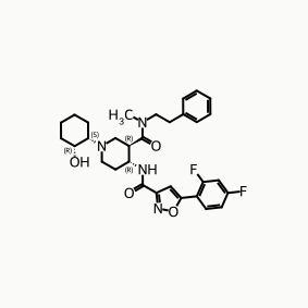 CN(CCc1ccccc1)C(=O)[C@@H]1CN([C@H]2CCCC[C@H]2O)CC[C@H]1NC(=O)c1cc(-c2ccc(F)cc2F)on1